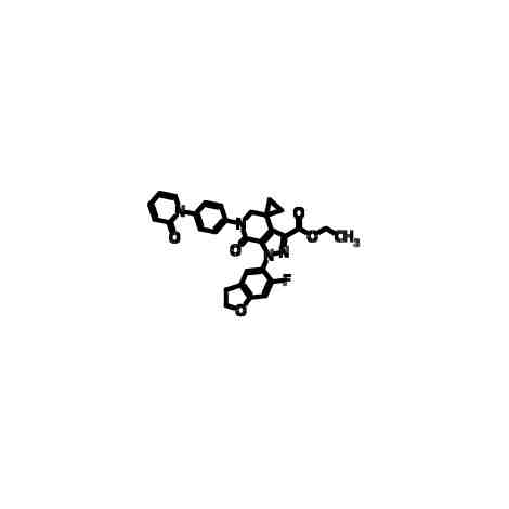 CCOC(=O)c1nn(-c2cc3c(cc2F)OCC3)c2c1C1(CC1)CN(c1ccc(-n3ccccc3=O)cc1)C2=O